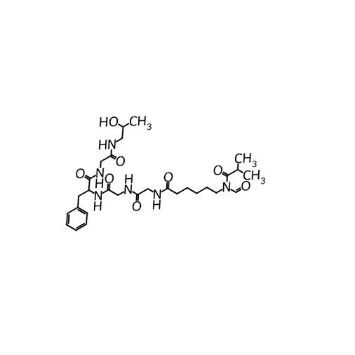 CC(O)CNC(=O)CNC(=O)C(Cc1ccccc1)NC(=O)CNC(=O)CNC(=O)CCCCCN(C=O)C(=O)C(C)C